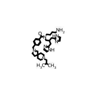 CC(C)CN1CCC2(CC1)CCN(Cc1ccc(C(=O)N(CCCCN)CC(Cc3ncc[nH]3)Cc3ncc[nH]3)cc1)C2